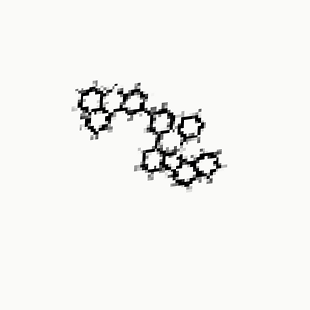 c1ccc(-n2c3c(-c4cccc(-c5ccc6c(c5)-c5cccc7cccc(c57)S6)c4)cccc3c3ccc4ccccc4c32)cc1